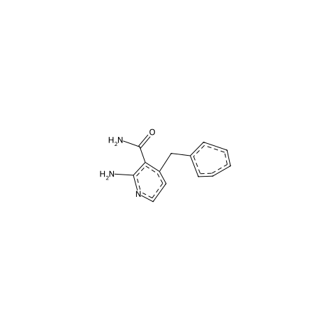 NC(=O)c1c(Cc2ccccc2)ccnc1N